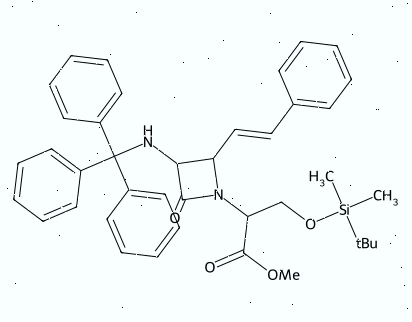 COC(=O)C(CO[Si](C)(C)C(C)(C)C)N1C(=O)C(NC(c2ccccc2)(c2ccccc2)c2ccccc2)C1C=Cc1ccccc1